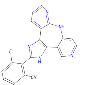 N#Cc1cccc(F)c1-c1nc2c([nH]1)-c1cnccc1Nc1ncccc1-2